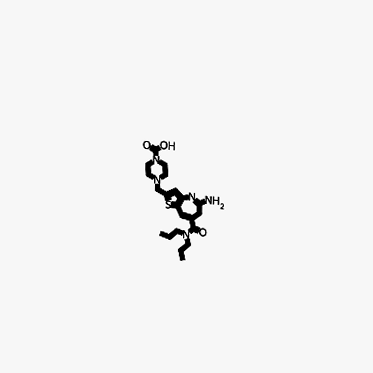 CCCN(CCC)C(=O)C1=Cc2sc(CN3CCN(C(=O)O)CC3)cc2N=C(N)C1